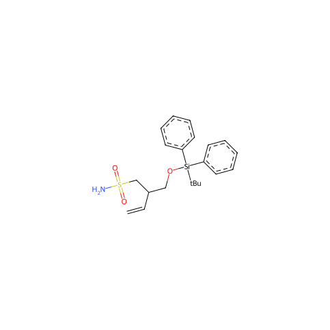 C=CC(CO[Si](c1ccccc1)(c1ccccc1)C(C)(C)C)CS(N)(=O)=O